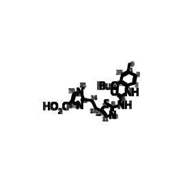 Cc1ccc(NC(=O)Nc2ncc(CCc3nc(C(=O)O)cn3C)s2)c(OCC(C)C)c1